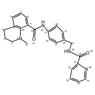 CN1CCCc2cccc(C(=O)Nc3ccc(CNC(=O)c4ccccn4)cc3)c21